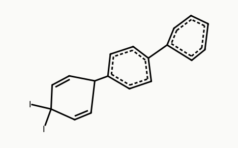 IC1(I)C=CC(c2ccc(-c3ccccc3)cc2)C=C1